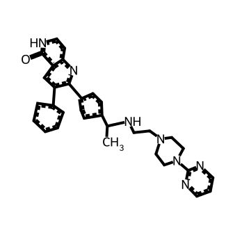 CC(NCCN1CCN(c2ncccn2)CC1)c1ccc(-c2nc3cc[nH]c(=O)c3cc2-c2ccccc2)cc1